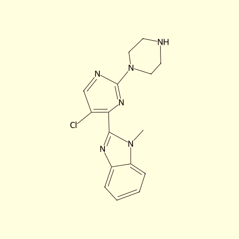 Cn1c(-c2nc(N3CCNCC3)ncc2Cl)nc2ccccc21